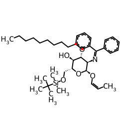 C/C=C\O[C@H]1O[C@H](CO[Si](C)(C)C(C)(C)C)[C@@H](O)[C@H](OCCCCCCCCCC)[C@H]1N=C(c1ccccc1)c1ccccc1